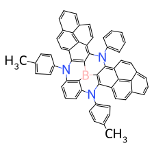 Cc1ccc(N2c3cccc4c3B3c5c2c2ccc6cccc7ccc(c5N(c5ccccc5)c5c3c(c3ccc8cccc9ccc5c3c89)N4c3ccc(C)cc3)c2c67)cc1